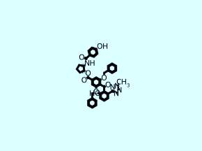 Cn1nnc(-c2cccc(O)c2C(=O)c2c(OCc3ccccc3)cc(C(=O)O[C@@H]3CCC[C@H]3NC(=O)c3ccc(O)cc3)cc2OCc2ccccc2)n1